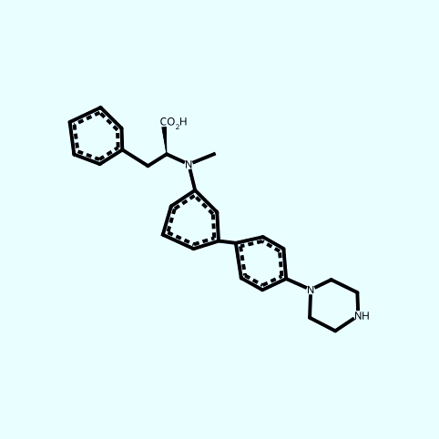 CN(c1cccc(-c2ccc(N3CCNCC3)cc2)c1)[C@@H](Cc1ccccc1)C(=O)O